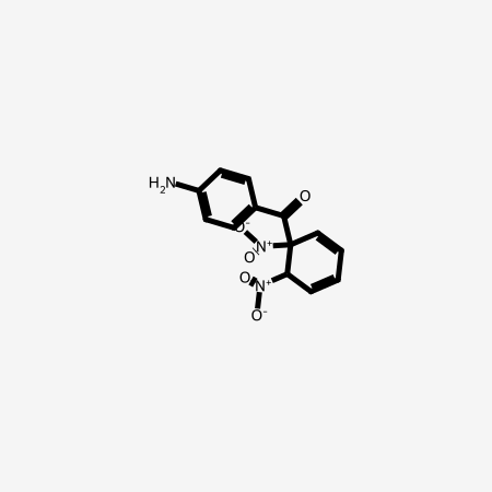 Nc1ccc(C(=O)C2([N+](=O)[O-])C=CC=CC2[N+](=O)[O-])cc1